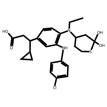 CCN(c1ccc(C(CC(=O)O)C2CC2)cc1Nc1ccc(Cl)cc1)C1CCSC(O)(O)C1